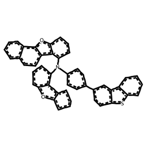 c1ccc2c(c1)ccc1c2oc2cccc(N(c3ccc(-c4ccc5sc6ccccc6c5c4)cc3)c3cccc4oc5ccccc5c34)c21